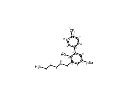 CC(C)(C)c1cc(CNCCCN)c(O)c(-c2ccc(C(F)(F)F)nc2)c1